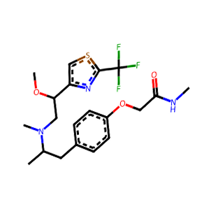 CNC(=O)COc1ccc(CC(C)N(C)CC(OC)c2csc(C(F)(F)F)n2)cc1